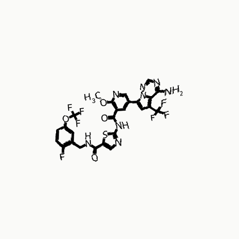 COc1ncc(-c2cc(C(F)(F)F)c3c(N)ncnn23)cc1C(=O)Nc1ncc(C(=O)NCc2cc(OC(F)(F)F)ccc2F)s1